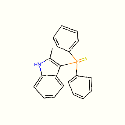 Cc1[nH]c2ccccc2c1P(=S)(c1ccccc1)c1ccccc1